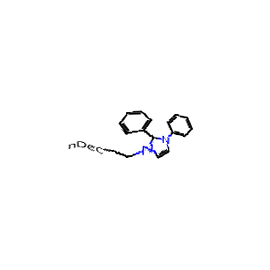 CCCCCCCCCCCCN1C=CN(c2ccccc2)C1c1ccccc1